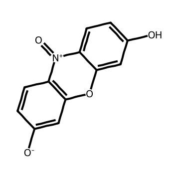 O=[n+]1c2ccc([O-])cc2oc2cc(O)ccc21